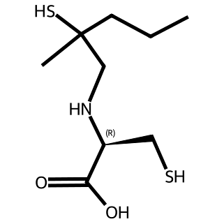 CCCC(C)(S)CN[C@@H](CS)C(=O)O